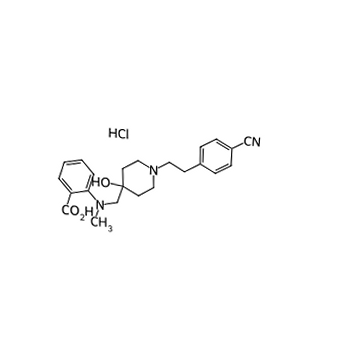 CN(CC1(O)CCN(CCc2ccc(C#N)cc2)CC1)c1ccccc1C(=O)O.Cl